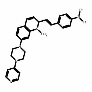 CCN(CC)c1ccc(C=CC2C=Cc3ccc(N4CCN(c5ccncc5)CC4)cc3N2C)cc1